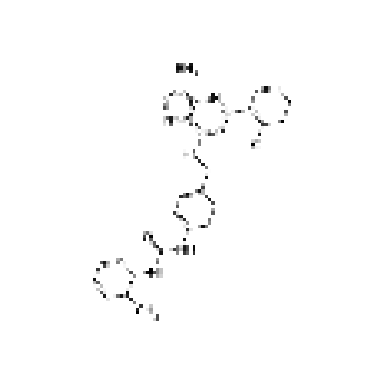 Bc1cnn2c(NCC3=CC=C(NC(=O)NC4C=CC=CC4C)CC3)cc(C3=C(Cl)CCC=C3)nc12